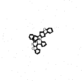 c1ccc(-c2nc(-c3ccccc3-n3c4ccccc4c4cc5oc6ccccc6c5cc43)c3c(n2)oc2ccccc23)cc1